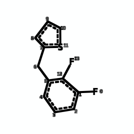 Fc1cccc(Cc2cccs2)c1F